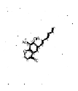 C=C/C=C/C=C/c1cc2c(c(C(C)=O)c1O)OCCC2=O